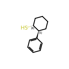 S[C@@H]1CCCC[C@H]1c1ccccc1